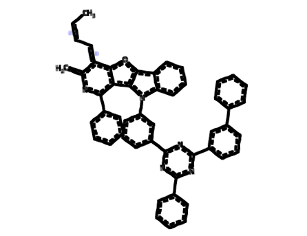 C=c1nc(-c2ccccc2)c2c(oc3c4ccccc4n(-c4cccc(-c5nc(-c6ccccc6)nc(-c6cccc(-c7ccccc7)c6)n5)c4)c32)/c1=C/C=C\C